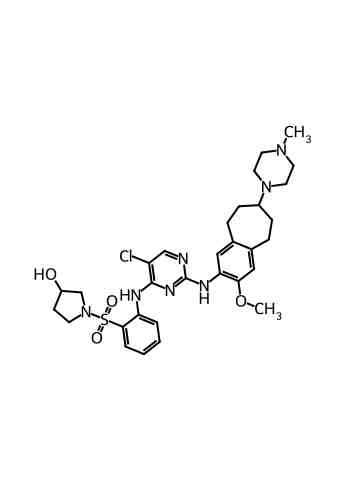 COc1cc2c(cc1Nc1ncc(Cl)c(Nc3ccccc3S(=O)(=O)N3CCC(O)C3)n1)CCC(N1CCN(C)CC1)CC2